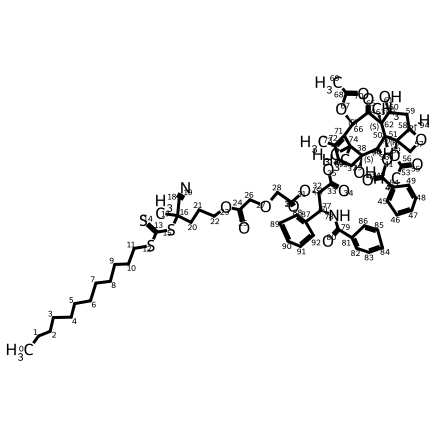 CCCCCCCCCCCCSC(=S)SC(C)(C#N)CCCOC(=O)COCC(=O)O[C@H](C(=O)O[C@@H]1C[C@@]2(O)[C@H](OC(=O)c3ccccc3)[C@H]3[C@@]4(OC(C)=O)CO[C@@H]4C[C@H](O)[C@@]3(C)C(=O)[C@H](OC(C)=O)C(=C1C)C2(C)C)[C@@H](NC(=O)c1ccccc1)c1ccccc1